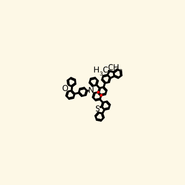 CC1(C)c2ccccc2-c2cc(-c3ccccc3-c3ccccc3N(c3ccc(-c4cccc5c4sc4ccccc45)cc3)c3ccc(-c4cccc5oc6ccccc6c45)cc3)ccc21